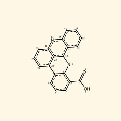 O=C(O)c1cccc2c1Sc1c3ccccc3nc3cccc-2c13